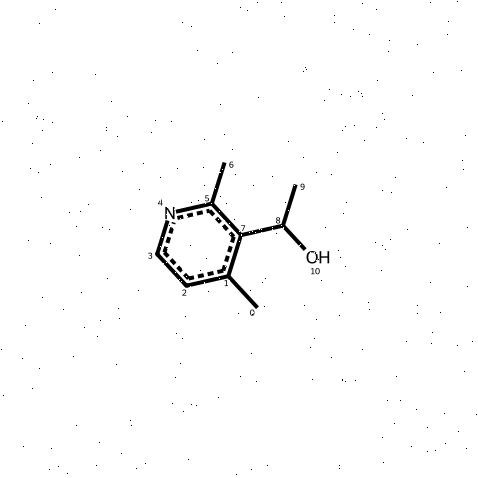 Cc1ccnc(C)c1C(C)O